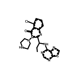 CCC(Nc1ncnc2scnc12)c1nc2cccc(Cl)c2c(=O)n1N1CCNCC1